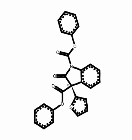 O=C(Oc1ccccc1)N1C(=O)[C@](C(=O)Oc2ccccc2)(c2cccs2)c2ccccc21